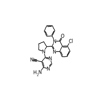 N#Cc1c(N)ncnc1N1CCCC1c1nc2cccc(Cl)c2c(=O)n1-c1ccccc1